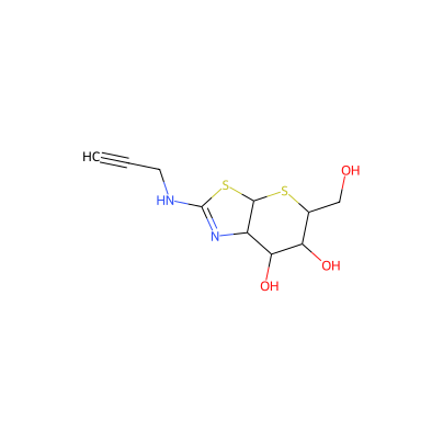 C#CCNC1=NC2C(S1)SC(CO)C(O)C2O